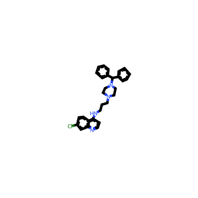 Clc1ccc2c(NCCCN3CCN(C(c4ccccc4)c4ccccc4)CC3)ccnc2c1